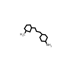 CC1CCCC(CCCC2CCC(N)CC2)C1